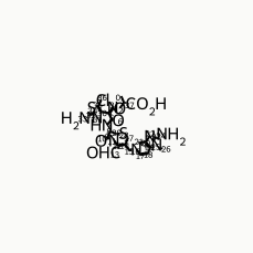 C[C@H](O/N=C(\C(=O)NC1C(=O)N2C(C=O)=C(C[n+]3ccc4c(c3)nc(N)n4C)CSC12)c1nc(N)sc1Cl)C(=O)O